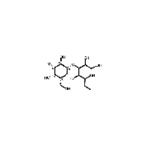 CCC(O)C(O)C(O[C@@H]1O[C@H](CO)[C@H](O)[C@H](O)[C@H]1O)C(O)CO